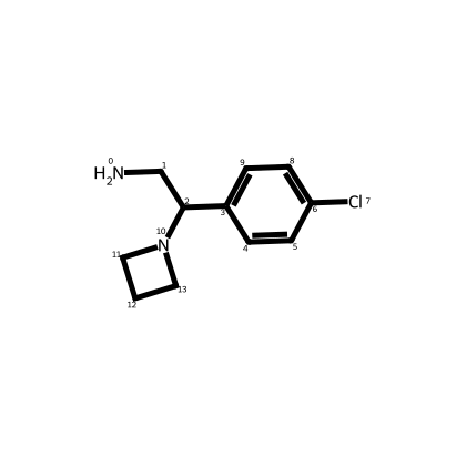 NCC(c1ccc(Cl)cc1)N1CCC1